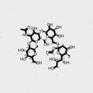 CC(=O)NC1C(O)[C@H](O[C@@H]2OC(CO[C@]3(OC=O)C[C@@H](O)[C@@H](C)C([C@H](O)[C@H](O)CO)O3)[C@H](O)[C@H](O)C2O)[C@H](CO)O[C@H]1OC1[C@@H](O)[C@H](O)C(CO)O[C@@H]1C